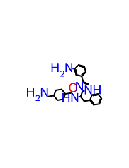 NCC1CCC(C(=O)NC(Cc2ccccc2)c2nc(-c3cccc(N)c3)c[nH]2)CC1